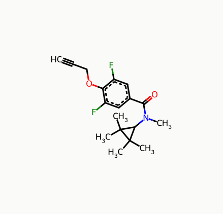 C#CCOc1c(F)cc(C(=O)N(C)C2C(C)(C)C2(C)C)cc1F